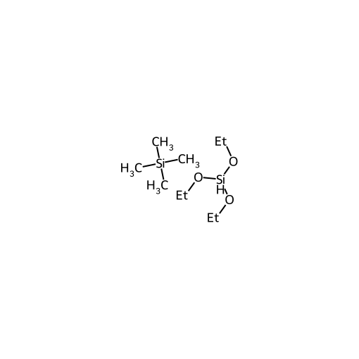 CCO[SiH](OCC)OCC.C[Si](C)(C)C